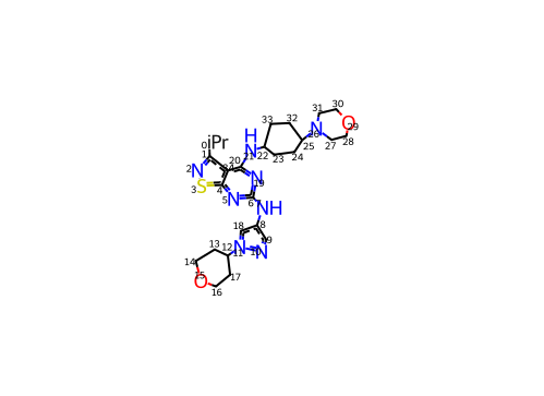 CC(C)c1nsc2nc(Nc3cnn(C4CCOCC4)c3)nc(NC3CCC(N4CCOCC4)CC3)c12